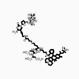 C=c1cc2c(cc1C(C)CC(C)(C)NCC)=C(c1ccccc1C(=O)N(C)CCCC(=O)NC(CCCSSCCC(=O)NCC#Cc1cn([C@H]3CC[C@@H](COP(=O)(O)OP(=O)(O)OP(=O)(O)O)O3)c(=O)nc1N)C(=O)NC(CC(=O)O)C(=O)NC(CC(=O)O)C(=O)O)c1cc3c4c(c1C2(C)C)CCCN4CCC3